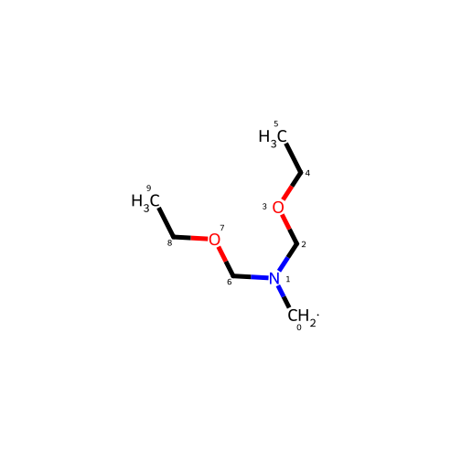 [CH2]N(COCC)COCC